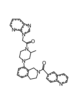 CC1CN(c2cccc3c2CN(C(=O)c2ccc4ncccc4c2)CC3)CCN1C(=O)Cn1cnc2cccnc21